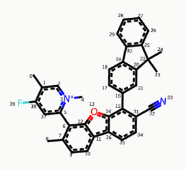 Cc1c[n+](C)c(-c2c(C)ccc3c2oc2c(-c4ccc5c(c4)C(C)(C)c4ccccc4-5)c(C#N)ccc23)cc1F